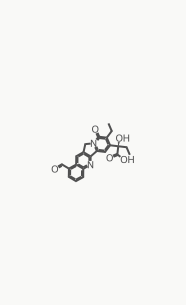 CCc1c([C@](O)(CC)C(=O)O)cc2n(c1=O)Cc1cc3c(C=O)cccc3nc1-2